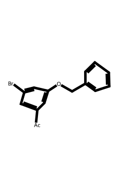 CC(=O)c1cc(Br)cc(OCc2ccccc2)c1